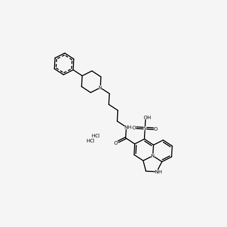 Cl.Cl.O=C(NCCCCN1CCC(c2ccccc2)CC1)C1=CC2CNC3=CC=CC(=C1S(=O)(=O)O)N32